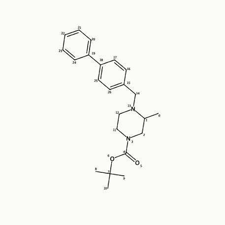 CC1CN(C(=O)OC(C)(C)C)CCN1Cc1ccc(-c2ccccc2)cc1